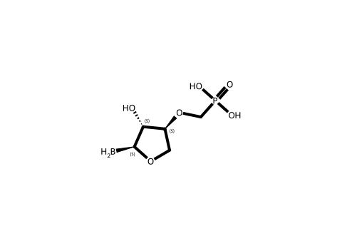 B[C@@H]1OC[C@H](OCP(=O)(O)O)[C@H]1O